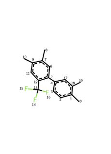 Cc1ccc(-c2cc(C)c(C)cc2C(F)(F)F)cc1C